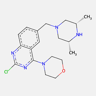 C[C@@H]1CN(Cc2ccc3nc(Cl)nc(N4CCOCC4)c3c2)C[C@H](C)N1